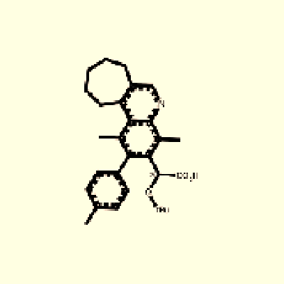 Cc1ccc(-c2c([C@H](OC(C)(C)C)C(=O)O)c(C)c3ncc4c(c3c2C)CCCCC4)cc1